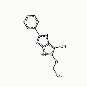 Oc1c(OCC(F)(F)F)[nH]c2sc(-c3cccnc3)nc12